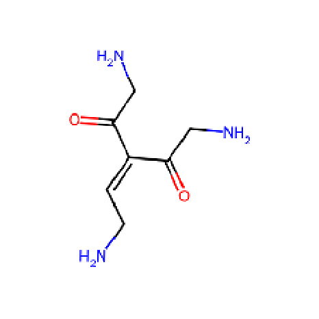 NCC=C(C(=O)CN)C(=O)CN